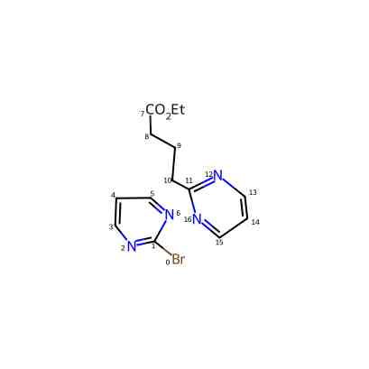 Brc1ncccn1.CCOC(=O)CCCc1ncccn1